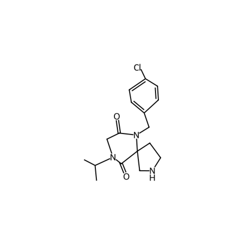 CC(C)N1CC(=O)N(Cc2ccc(Cl)cc2)C2(CCNC2)C1=O